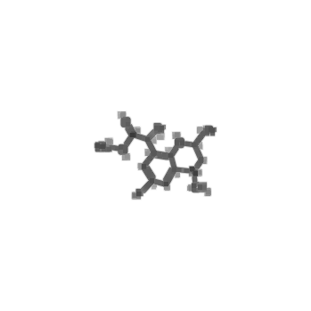 CC(C)C1CN(C)c2cc(F)cc(C(Br)C(=O)OC(C)(C)C)c2O1